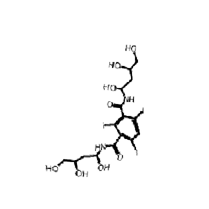 O=C(NC(O)CC(O)CO)c1c(I)cc(I)c(C(=O)NC(O)CC(O)CO)c1I